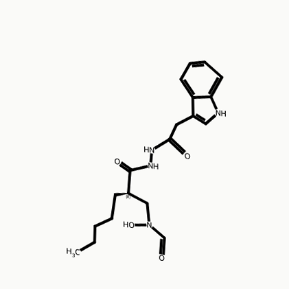 CCCCC[C@H](CN(O)C=O)C(=O)NNC(=O)Cc1c[nH]c2ccccc12